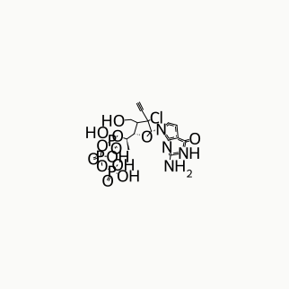 C#CC1(Cl)C(CO)[C@@H]([C@@H](C)OP(=O)(O)OP(=O)(O)OP(=O)(O)O)O[C@H]1n1ccc2c(=O)[nH]c(N)nc21